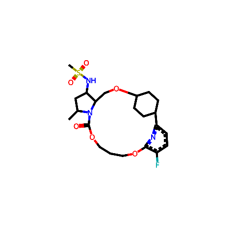 CC1CC(NS(C)(=O)=O)C2COC3CCC(CC3)c3ccc(F)c(n3)OCCCOC(=O)N12